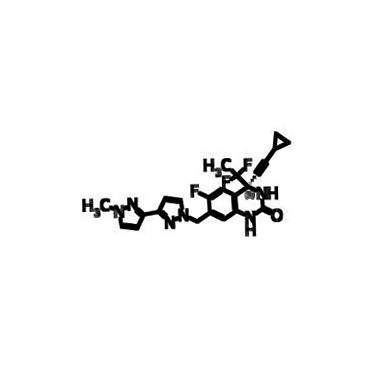 Cn1ccc(-c2ccn(Cc3cc4c(cc3F)[C@@](C#CC3CC3)(C(C)(F)F)NC(=O)N4)n2)n1